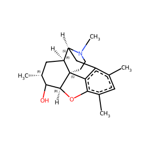 Cc1cc(C)c2c3c1C[C@H]1[C@@H]4C[C@@H](C)C(O)[C@H](O2)[C@]34CCN1C